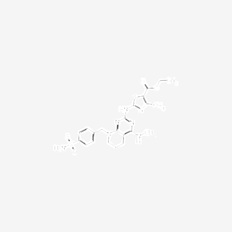 CCOC(=O)c1sc(Nc2nc(NC)c3c(n2)N(Cc2ccc(S(N)(=O)=O)cc2)CCC3)nc1C